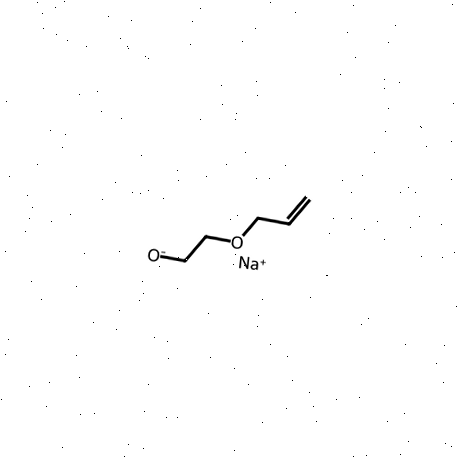 C=CCOCC[O-].[Na+]